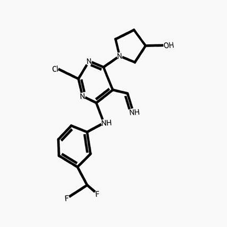 N=Cc1c(Nc2cccc(C(F)F)c2)nc(Cl)nc1N1CCC(O)C1